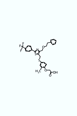 Cc1cc(SCc2sc(-c3ccc(C(F)(F)F)cc3)nc2COCCc2ccccc2)ccc1OCC(=O)O